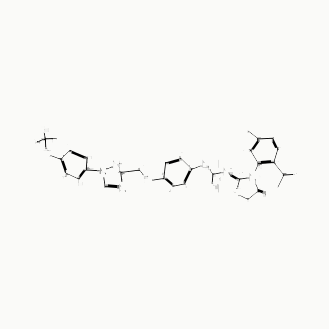 Cc1ccc(C(C)C)c(N2C(=O)CS/C2=N\C(O)Nc2ccc(OCc3ncn(-c4ccc(OC(F)(F)F)cc4)n3)cc2)c1